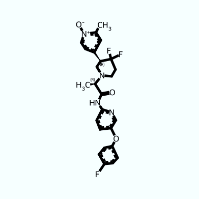 Cc1cc([C@@H]2CN([C@H](C)C(=O)Nc3ccc(Oc4ccc(F)cc4)cn3)CCC2(F)F)cc[n+]1[O-]